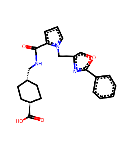 O=C(NC[C@H]1CC[C@H](C(=O)O)CC1)c1cccn1Cc1coc(-c2ccccc2)n1